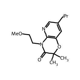 COCCN1C(=O)C(C)(C)Oc2cc(C(C)C)cnc21